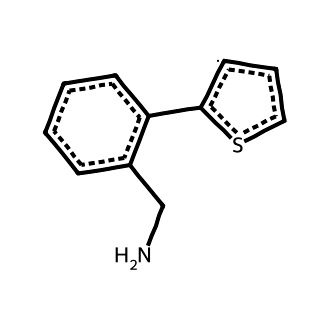 NCc1ccccc1-c1[c]ccs1